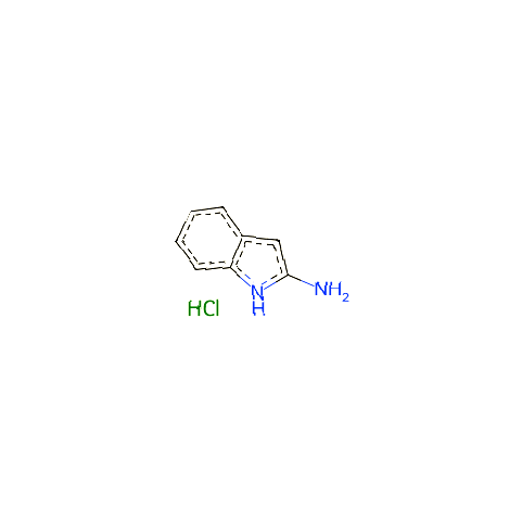 Cl.Nc1cc2ccccc2[nH]1